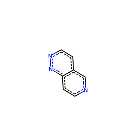 c1cc2nnccc2cn1